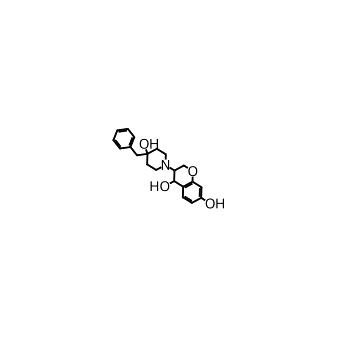 Oc1ccc2c(c1)OCC(N1CCC(O)(Cc3ccccc3)CC1)C2O